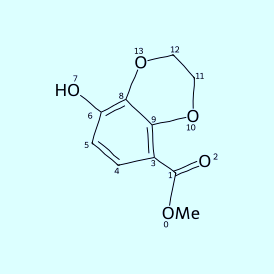 COC(=O)c1ccc(O)c2c1OCCO2